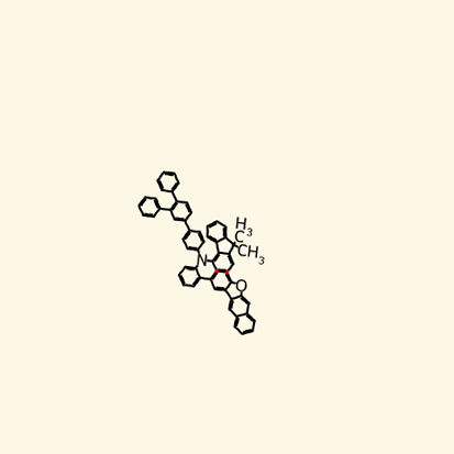 CC1(C)c2ccccc2-c2c(N(c3ccc(-c4ccc(-c5ccccc5)c(-c5ccccc5)c4)cc3)c3ccccc3-c3ccc4oc5cc6ccccc6cc5c4c3)cccc21